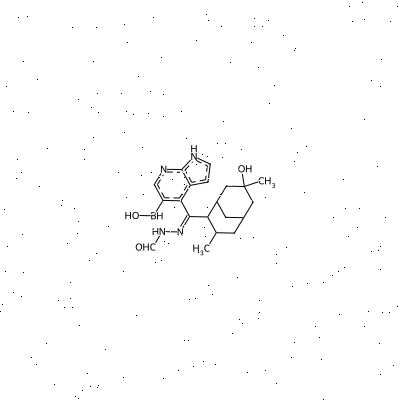 CC1CC2CC(CC(C)(O)C2)C1/C(=N/NC=O)c1c(BO)cnc2[nH]ccc12